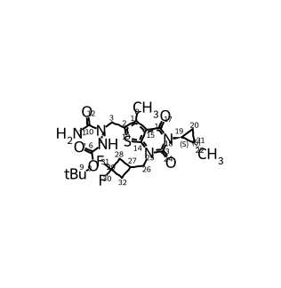 Cc1c(CN(NC(=O)OC(C)(C)C)C(N)=O)sc2c1c(=O)n([C@H]1C[C@@H]1C)c(=O)n2CC1CC(F)(F)C1